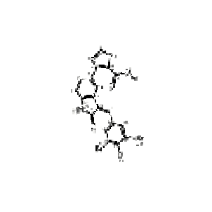 COC(=O)c1sccc1-c1ccc2c(c1)C(=Cc1cc(Br)c(O)c(Br)c1)C(=O)N2